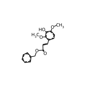 COc1ccc(C=CC(=O)OCc2ccccc2)c(OC)c1O